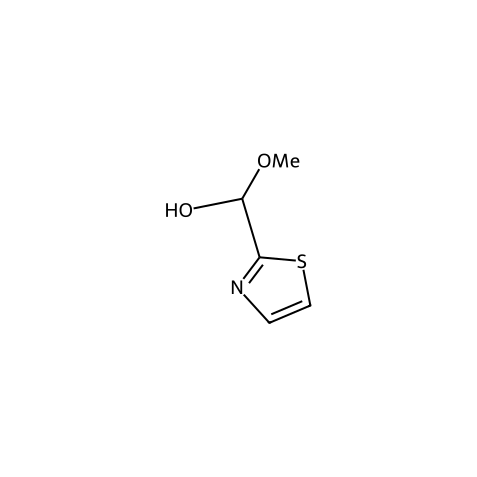 COC(O)c1nccs1